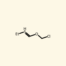 CC[SH]=COCCl